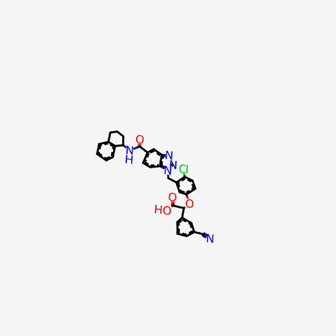 N#Cc1cccc(C(Oc2ccc(Cl)c(Cn3nnc4cc(C(=O)NC5CCCc6ccccc65)ccc43)c2)C(=O)O)c1